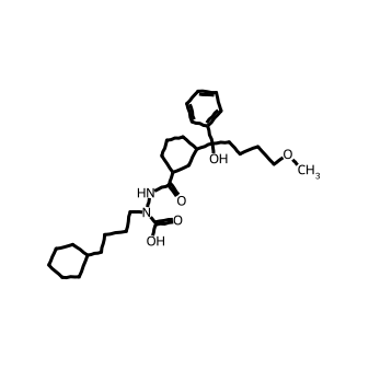 COCCCCC(O)(c1ccccc1)C1CCCC(C(=O)NN(CCCCC2CCCCC2)C(=O)O)C1